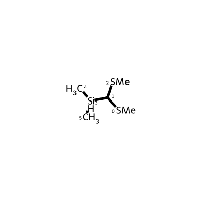 CSC(SC)[SiH](C)C